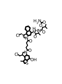 Cc1csc2c(O)cc3c(c12)C(CCl)CN3C(=O)CCCC(=O)N1C[C@@H](CCl)c2c1cc(NC(=O)C(C)NC(=O)C(OC(N)=O)C(C)C)c1ccccc21